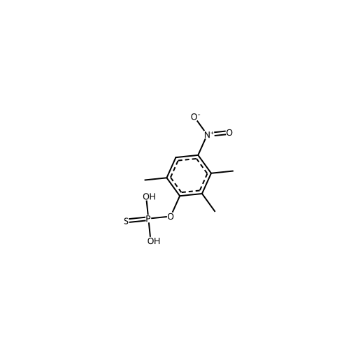 Cc1cc([N+](=O)[O-])c(C)c(C)c1OP(O)(O)=S